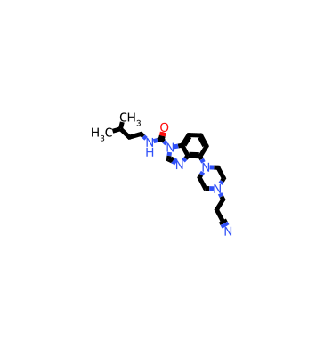 CC(C)CCNC(=O)n1cnc2c(N3CCN(CCC#N)CC3)cccc21